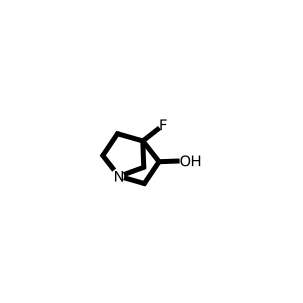 OC1CN2CCC1(F)C2